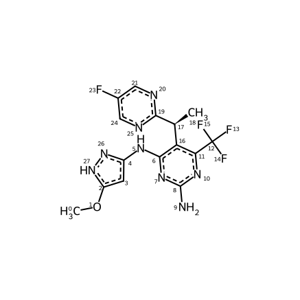 COc1cc(Nc2nc(N)nc(C(F)(F)F)c2[C@H](C)c2ncc(F)cn2)n[nH]1